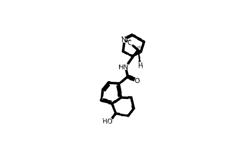 O=C(N[C@@H]1CN2CCC1CC2)c1cccc2c1CCCC2O